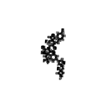 CN1CC(F)(Cn2cc(-c3ccc4c(c3)C(F)(F)C[C@]43NC(=O)N(CC(=O)N(Cc4ccc(F)cc4)C4(C(F)(F)F)COC4)C3=O)cn2)C1